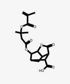 C=C(C)C(=O)OC(C)(C)CC(=O)OC1C2CC3C1OC(=O)C3C2C(=O)O